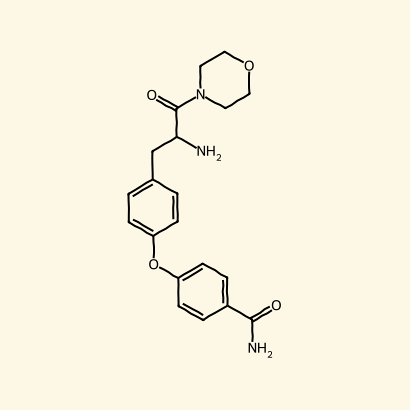 NC(=O)c1ccc(Oc2ccc(CC(N)C(=O)N3CCOCC3)cc2)cc1